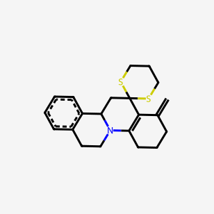 C=C1CCCC2=C1C1(CC3c4ccccc4CCN23)SCCCS1